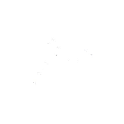 Cc1cc(Nc2ncnn3ccc(C4CN(C(=O)/C=C/CN(C)C)C4)c23)ccc1Oc1ccn2ccnc2c1